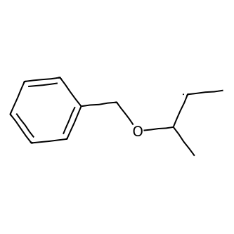 C[CH]C(C)OCc1ccccc1